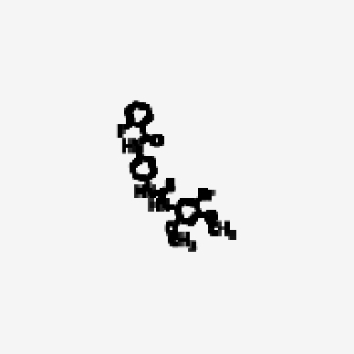 COc1cc(OC)c(NC(=S)Nc2ccc(NC(=O)c3ccccc3F)cc2)cc1Br